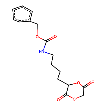 O=C1COC(=O)C(CCCCNC(=O)OCc2ccccc2)O1